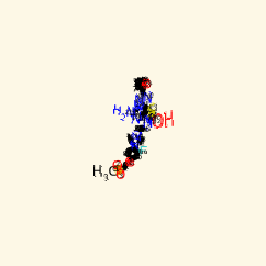 CS(=O)(=O)CCOc1ccc(N2CCN(CCN3c4nc(N)n5nc(-c6ccco6)nc5c4SC3O)CC2)c(F)c1